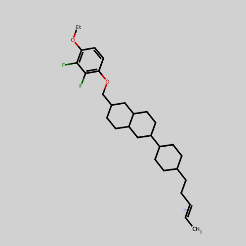 C/C=C/CCC1CCC(C2CCC3CC(COc4ccc(OCC)c(F)c4F)CCC3C2)CC1